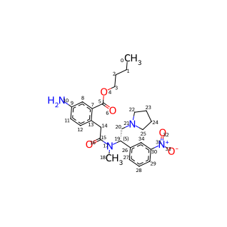 CCCCOC(=O)c1cc(N)ccc1CC(=O)N(C)[C@H](CN1CCCC1)c1cccc([N+](=O)[O-])c1